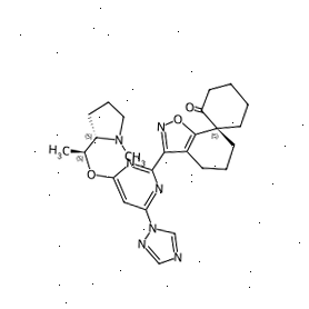 C[C@H](Oc1cc(-n2cncn2)nc(-c2noc3c2CCC[C@@]32CCCCC2=O)n1)[C@@H]1CCCN1C